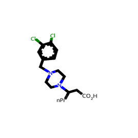 CCCC(CC(=O)O)N1CCN(Cc2ccc(Cl)c(Cl)c2)CC1